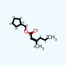 CCCC(C)=CC(=O)OCC1CCCC1